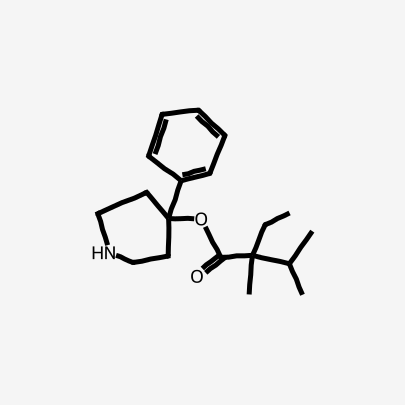 CCC(C)(C(=O)OC1(c2ccccc2)CCNCC1)C(C)C